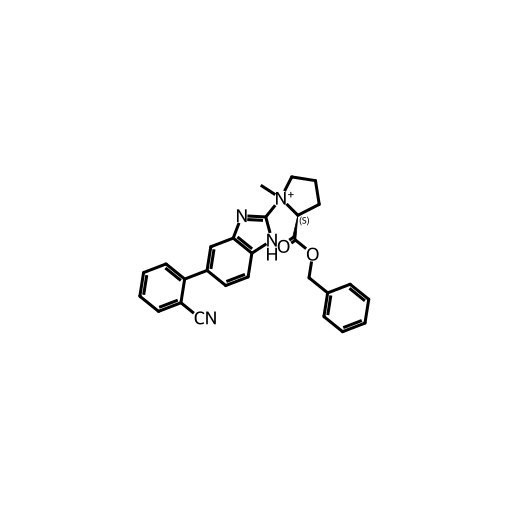 C[N+]1(c2nc3cc(-c4ccccc4C#N)ccc3[nH]2)CCC[C@H]1C(=O)OCc1ccccc1